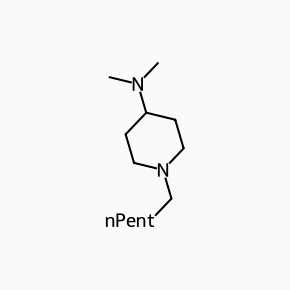 CCCCCCN1CCC(N(C)C)CC1